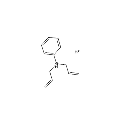 C=CC[SiH](CC=C)c1ccccc1.F